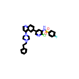 O=S(=O)(Nc1cc(-c2ccc3nccc(N4CCN(CCc5ccccc5)CC4)c3c2)cnc1Cl)c1ccc(F)cc1